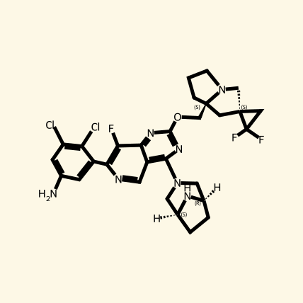 Nc1cc(Cl)c(Cl)c(-c2ncc3c(N4C[C@H]5CC[C@@H](C4)N5)nc(OC[C@@]45CCCN4C[C@@]4(CC4(F)F)C5)nc3c2F)c1